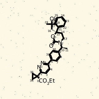 CCOC(=O)C1(c2ccc(-c3ccc([C@H](C)N4CC[C@](CC(C)(C)O)(c5ccccc5)OC4=O)cc3)nn2)CC1